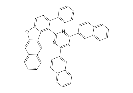 c1ccc(-c2ccc3oc4cc5ccccc5cc4c3c2-c2nc(-c3ccc4ccccc4c3)nc(-c3ccc4ccccc4c3)n2)cc1